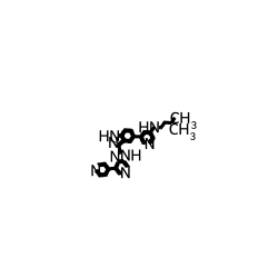 CC(C)CCNc1cncc(-c2ccc3[nH]nc(-c4nc5c(-c6ccncc6)cncc5[nH]4)c3c2)c1